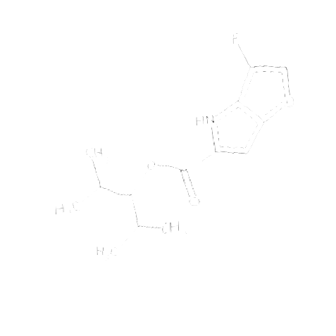 CC(C)C(OC(=O)c1cc2occ(F)c2[nH]1)C(C)C